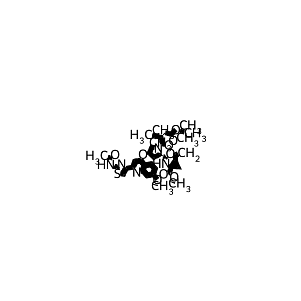 C=CC1C[C@]1(NC(=O)[C@@H]1C[C@@H](Oc2cc(-c3csc(NC(C)=O)n3)nc3cc(OC)ccc23)CN1C(=O)[C@@H](CC(=O)OC(C)(C)C)C(C)(C)C)C(=O)OC